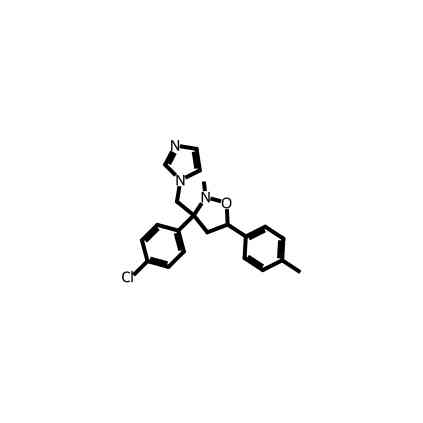 Cc1ccc(C2CC(Cn3ccnc3)(c3ccc(Cl)cc3)N(C)O2)cc1